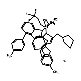 Cc1ccc(-c2cccc3c2C=C(CC2CCCC2)[CH]3[Zr]([CH3])(=[SiH2])([CH2]CC(F)(F)F)[CH]2C(CC3CCCC3)=Cc3c(-c4ccc(C)cc4)cccc32)cc1.Cl.Cl